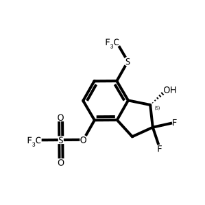 O=S(=O)(Oc1ccc(SC(F)(F)F)c2c1CC(F)(F)[C@H]2O)C(F)(F)F